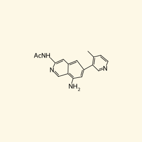 CC(=O)Nc1cc2cc(-c3cnccc3C)cc(N)c2cn1